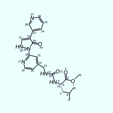 COC(=O)[C@H](CC(C)C)NC(=O)NCc1ccnc(-n2[nH]cc(-c3cccnc3)c2=O)c1